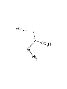 CCCCC(SN)C(=O)O